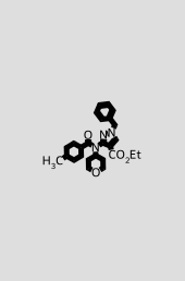 CCOC(=O)c1cn(Cc2ccccc2)nc1N(C(=O)C1CCC(C)CC1)C1CCOCC1